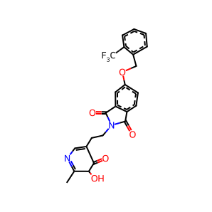 CC1=NC=C(CCN2C(=O)c3ccc(OCc4ccccc4C(F)(F)F)cc3C2=O)C(=O)C1O